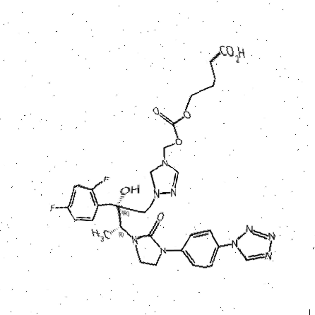 C[C@@H](N1CCN(c2ccc(-n3cnnn3)cc2)C1=O)[C@](O)(CN1CN(COC(=O)OCCCC(=O)O)C=N1)c1ccc(F)cc1F